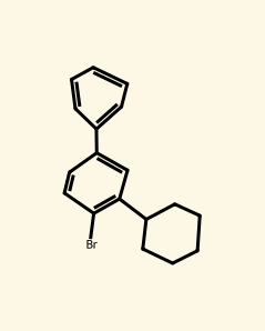 Brc1ccc(-c2ccccc2)cc1C1CCCCC1